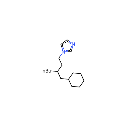 CCCCC(CCn1ccnc1)CC1CCCCC1